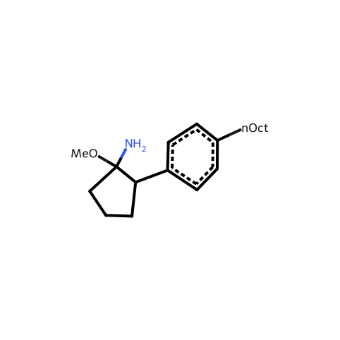 CCCCCCCCc1ccc(C2CCCC2(N)OC)cc1